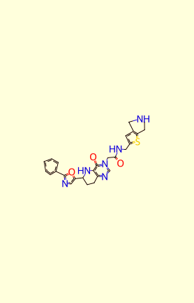 O=C(Cn1cnc2c(c1=O)NC(c1cnc(-c3ccccc3)o1)CC2)NCc1cc2c(s1)CCNC2